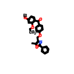 CCOc1ccc(C(=O)c2ccc(OCc3nc(-c4ccccc4)oc3C)cc2)c(OCC(=O)O)c1